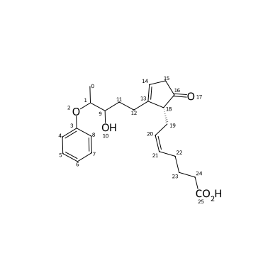 CC(Oc1ccccc1)C(O)CCC1=CCC(=O)[C@@H]1C/C=C\CCCC(=O)O